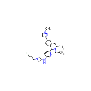 CC1Cc2cc(-c3ccn(C)n3)ccc2C(c2ccc(NC3CN(CCCF)C3)cn2)N1CC(F)(F)F